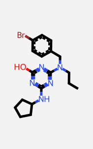 CCCN(Cc1ccc(Br)cc1)c1nc(O)nc(NC2CCCC2)n1